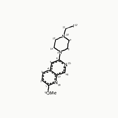 COc1ccc2cc(N3CCN(CI)CC3)ncc2n1